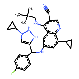 CC(C)(C)CNc1c(C#N)cnc2c(C3CC3)cc(NC(C3=CN(C4CC4)NN3)c3ccc(F)cc3)cc12